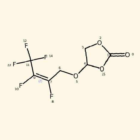 O=C1OCC(OC/C(F)=C(/F)C(F)(F)F)O1